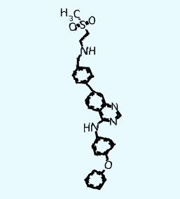 CS(=O)(=O)CCNCc1ccc(-c2ccc3c(Nc4ccc(Oc5ccccc5)cc4)ncnc3c2)cc1